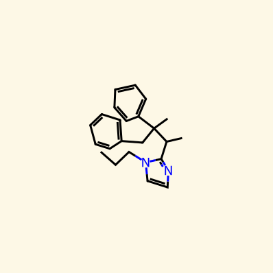 CCCn1ccnc1C(C)C(C)(Cc1ccccc1)c1ccccc1